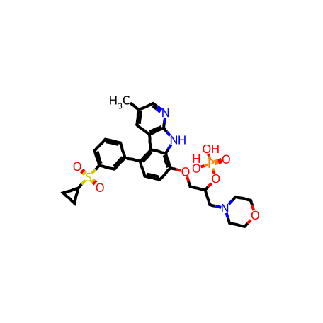 Cc1cnc2[nH]c3c(OCC(CN4CCOCC4)OP(=O)(O)O)ccc(-c4cccc(S(=O)(=O)C5CC5)c4)c3c2c1